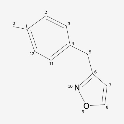 Cc1ccc([CH]c2ccon2)cc1